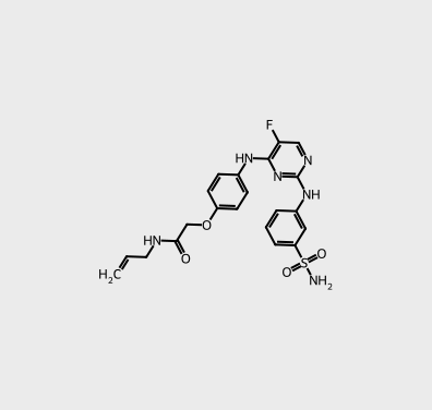 C=CCNC(=O)COc1ccc(Nc2nc(Nc3cccc(S(N)(=O)=O)c3)ncc2F)cc1